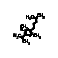 C=C[C@@H]1CN(CCCC(C)C)[C@H](C)CN1C(C)C